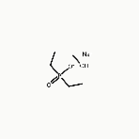 CCP(=O)([O-])CC.CO.[Na+]